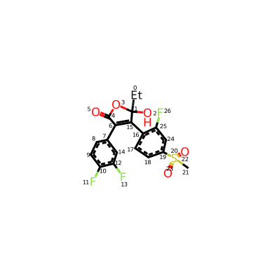 CCC1(O)OC(=O)C(c2ccc(F)c(F)c2)=C1c1ccc(S(C)(=O)=O)cc1F